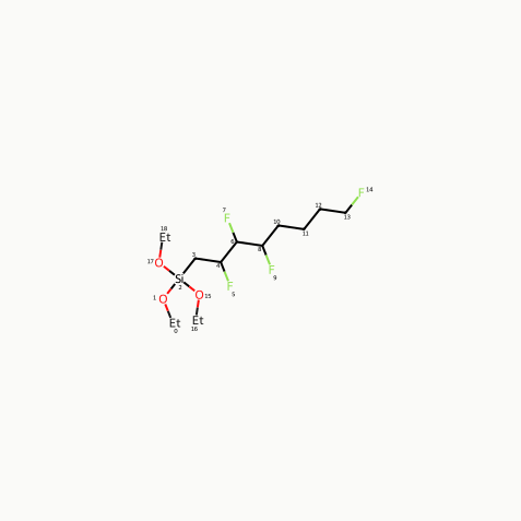 CCO[Si](CC(F)C(F)C(F)CCCCF)(OCC)OCC